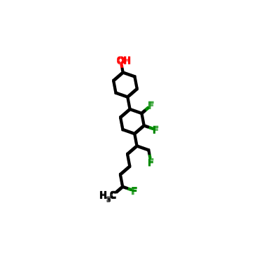 CC(F)CCCC(CF)C1CCC(C2CCC(O)CC2)C(F)C1F